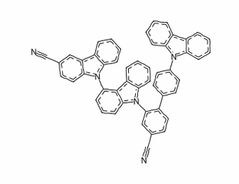 N#Cc1ccc(-c2ccc(-n3c4ccccc4c4ccccc43)cc2)c(-n2c3ccccc3c3c(-n4c5ccccc5c5cc(C#N)ccc54)cccc32)c1